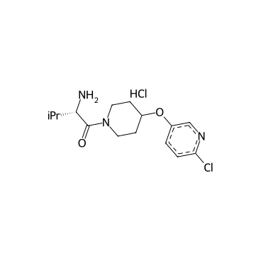 CC(C)[C@H](N)C(=O)N1CCC(Oc2ccc(Cl)nc2)CC1.Cl